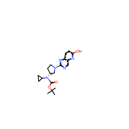 CC(C)(C)OC(=O)N(C1CC1)[C@@H]1CCN(c2ncc3nc(O)ccc3n2)C1